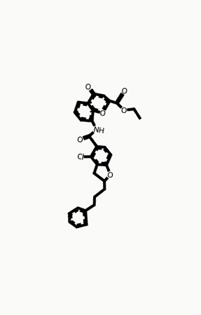 CCOC(=O)c1cc(=O)c2cccc(NC(=O)c3ccc4c(c3Cl)CC(CCCc3ccccc3)O4)c2o1